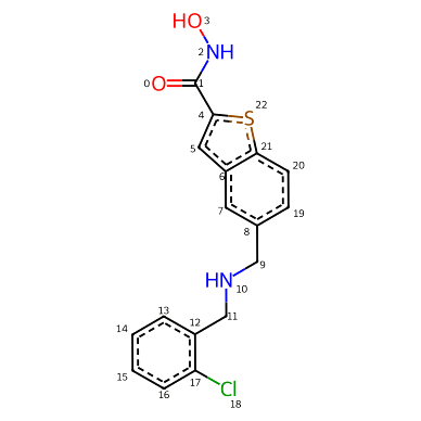 O=C(NO)c1cc2cc(CNCc3ccccc3Cl)ccc2s1